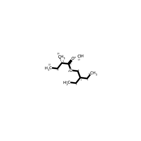 CCC(CC)COC(=O)[C@@H](C)CC.Cl